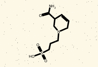 NC(=O)C1C=CCN(CCCS(=O)(=O)O)C1